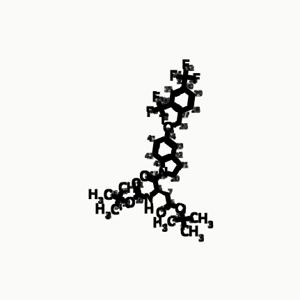 CC(C)(C)OC(=O)C[C@@H](NC(=O)OC(C)(C)C)C(=O)N1CCc2cc(OCc3ccc(C(F)(F)F)cc3C(F)(F)F)ccc21